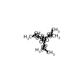 CCCOC(C)OC(=O)CCn1c(=O)n(CCC(=O)OC(C)OCCC)c(=O)n(CCC(=O)OC(C)OCCC)c1=O